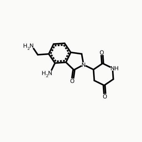 NCc1ccc2c(c1N)C(=O)N(C1CC(=O)CNC1=O)C2